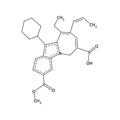 C/C=C\C1=C(CC)c2c(C3CCCCC3)c3ccc(C(=O)OC)cc3n2CC(C(=O)O)=C1